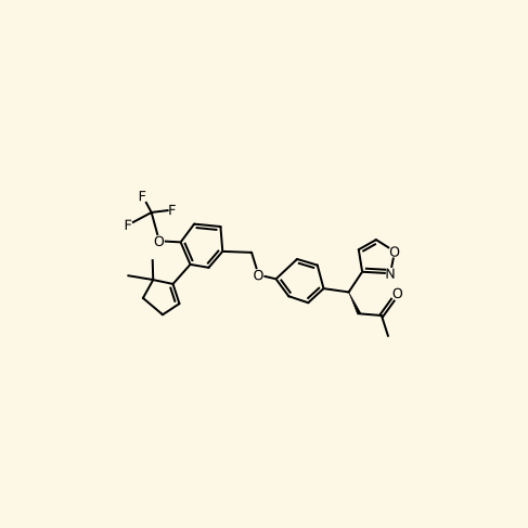 CC(=O)C[C@@H](c1ccc(OCc2ccc(OC(F)(F)F)c(C3=CCCC3(C)C)c2)cc1)c1ccon1